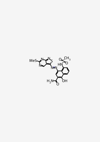 CSc1ncc2c(/N=N/c3cc(C(N)=O)c(O)c4cccc(NS(C)(=O)=O)c34)snc2n1